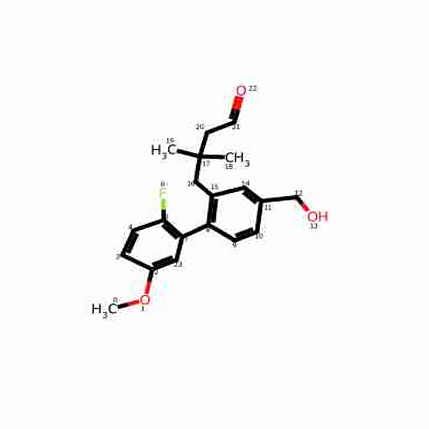 COc1ccc(F)c(-c2ccc(CO)cc2CC(C)(C)CC=O)c1